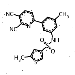 Cc1cc(NS(=O)(=O)c2csc(C)c2)cc(-c2ccc(C#N)c(C#N)n2)c1